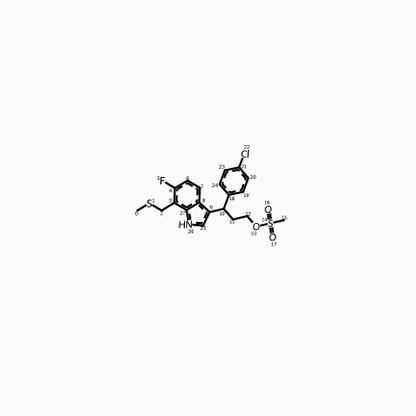 CSCc1c(F)ccc2c(C(CCOS(C)(=O)=O)c3ccc(Cl)cc3)c[nH]c12